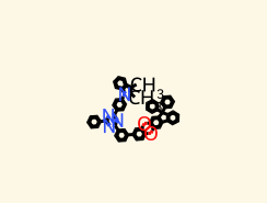 Cc1c(C)n(-c2ccc(-c3nc(-c4ccccc4)nc(-c4cccc(-c5ccc6c(c5)Oc5cc7c(cc5O6)-c5ccccc5C7(c5ccccc5)c5ccccc5)c4)n3)cc2)c2ccccc12